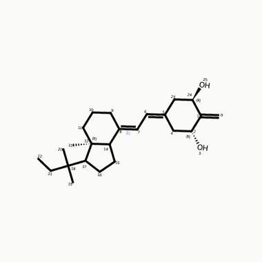 C=C1[C@H](O)CC(=C/C=C2\CCC[C@@]3(C)C2CCC3C(C)(C)CC)C[C@H]1O